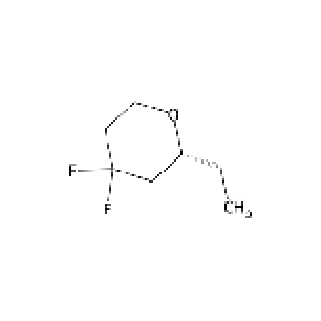 CC[C@@H]1CC(F)(F)CCO1